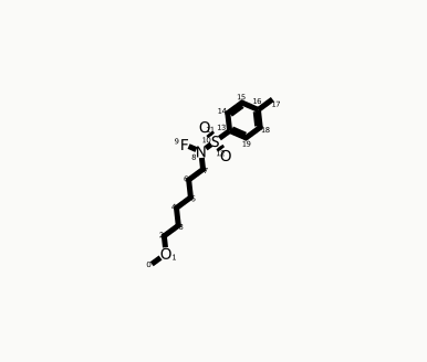 COCCCCCCN(F)S(=O)(=O)c1ccc(C)cc1